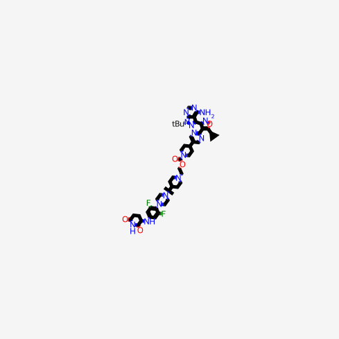 CC(C)(C1CCN(CCOC(=O)N2CCC(c3cnc(-c4c(-c5nn(C(C)(C)C)c6ncnc(N)c56)noc4C4CC4)nc3)CC2)CC1)N1CCN(c2c(F)cc(NC3CCC(=O)NC3=O)cc2F)CC1